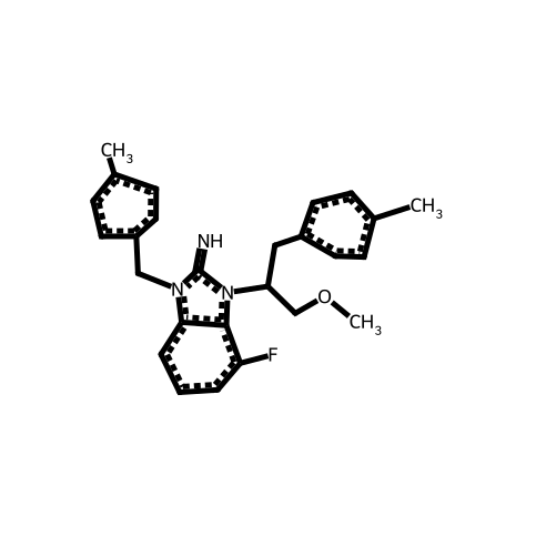 COCC(Cc1ccc(C)cc1)n1c(=N)n(Cc2ccc(C)cc2)c2cccc(F)c21